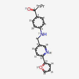 CCCC(=O)c1ccc(NCc2ccc(-c3ccco3)nc2)cc1